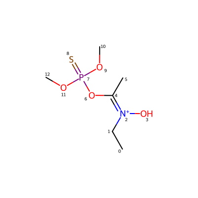 CC[N+](O)=C(C)OP(=S)(OC)OC